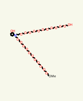 COCCOCCOCCOCCOCCOCCOCCOCCOCCOCCOCCOCCN(CCCOCCOCCOCCOCCOCCOCCOCCOCCOCCOCCOCCO)c1cccc(O)c1